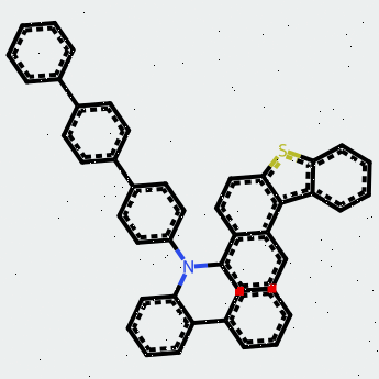 c1ccc(-c2ccc(-c3ccc(N(c4ccccc4-c4ccccc4)c4cccc5c4ccc4sc6ccccc6c45)cc3)cc2)cc1